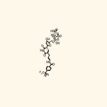 O=C(NC=CCc1cn([C@H]2C[C@H](O)[C@@H](COP(=O)(O)OP(=O)(O)OP(=O)(O)O)O2)c(=O)[nH]c1=O)c1ccc(C2(C(F)(F)F)N=N2)cc1